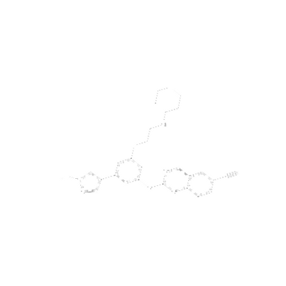 C#Cc1ccc2nc(Nc3cc(OCCNC4CCOCC4)cc(-c4cnn(C)c4)c3)ncc2c1